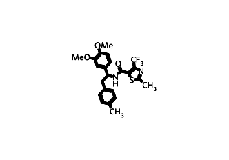 COc1ccc(C(Cc2ccc(C)cc2)NC(=O)c2sc(C)nc2C(F)(F)F)cc1OC